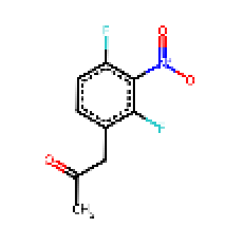 CC(=O)Cc1ccc(F)c([N+](=O)[O-])c1F